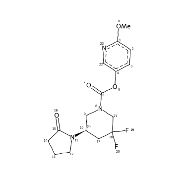 COc1ccc(OC(=O)N2C[C@H](N3CCCC3=O)CC(F)(F)C2)cn1